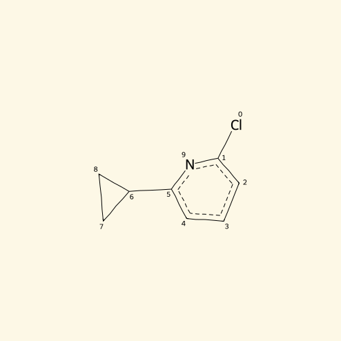 Clc1cccc(C2CC2)n1